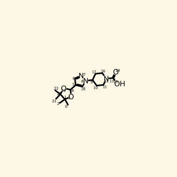 CC1(C)OC(c2cnn(C3CCN(C(=O)O)CC3)c2)OC1(C)C